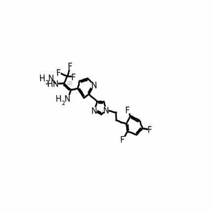 NN/C(=C(\N)c1ccnc(-c2cn(CCc3c(F)cc(F)cc3F)cn2)c1)C(F)(F)F